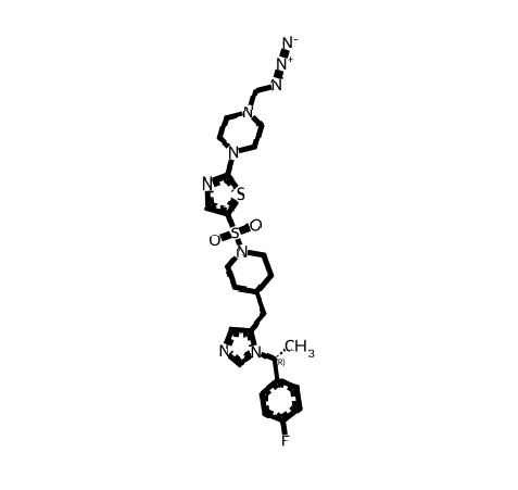 C[C@H](c1ccc(F)cc1)n1cncc1CC1CCN(S(=O)(=O)c2cnc(N3CCN(CN=[N+]=[N-])CC3)s2)CC1